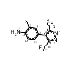 Cc1cc(-n2c(C(F)(F)F)nnc2C(F)(F)F)ccc1N